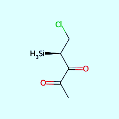 CC(=O)C(=O)[C@@H]([SiH3])CCl